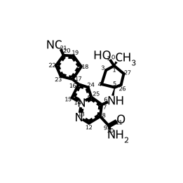 C[C@]1(O)CC[C@H](Nc2c(C(N)=O)cnn3cc(-c4ccc(C#N)cc4)cc23)CC1